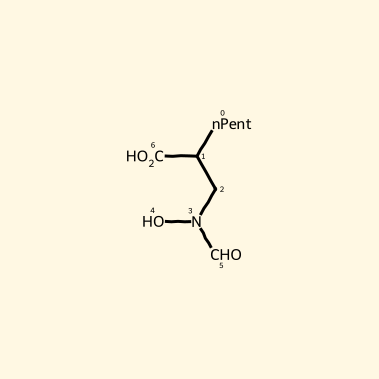 CCCCCC(CN(O)C=O)C(=O)O